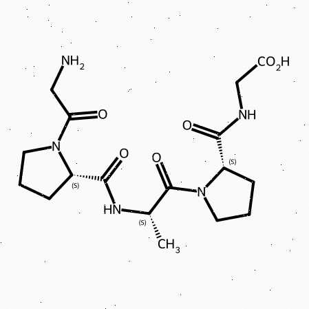 C[C@H](NC(=O)[C@@H]1CCCN1C(=O)CN)C(=O)N1CCC[C@H]1C(=O)NCC(=O)O